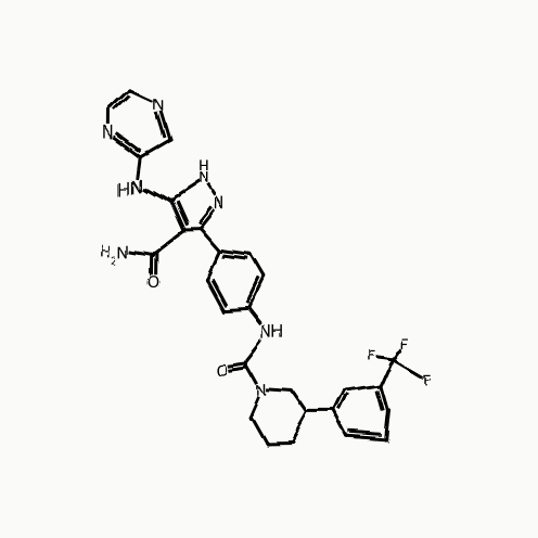 NC(=O)c1c(-c2ccc(NC(=O)N3CCCC(c4cccc(C(F)(F)F)c4)C3)cc2)n[nH]c1Nc1cnccn1